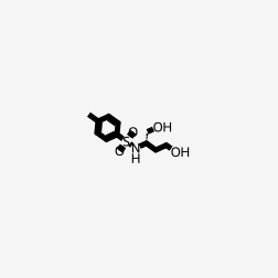 Cc1ccc(S(=O)(=O)N[C@H](CO)CCO)cc1